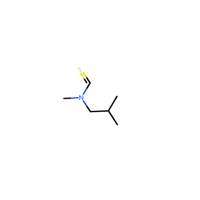 CC(C)CN(C)C=S